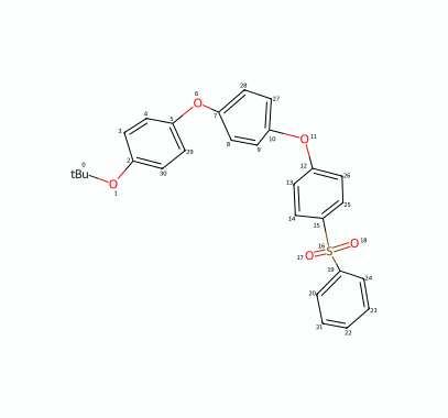 CC(C)(C)Oc1ccc(Oc2ccc(Oc3ccc(S(=O)(=O)c4ccccc4)cc3)cc2)cc1